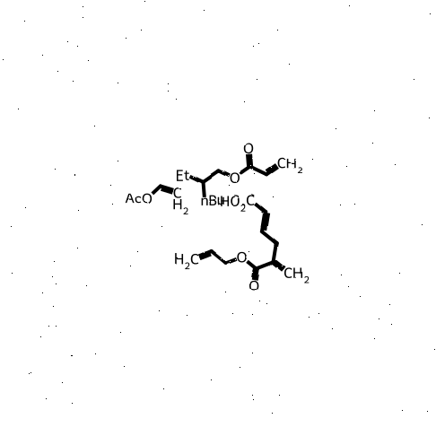 C=CC(=O)OCC(CC)CCCC.C=CCOC(=O)C(=C)CC=CC(=O)O.C=COC(C)=O